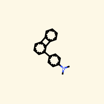 CN(C)c1ccc(-c2cccc3c2-c2ccccc2-3)cc1